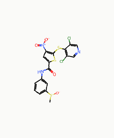 C[S+]([O-])c1cccc(NC(=O)c2cc([N+](=O)[O-])c(Sc3c(Cl)cncc3Cl)s2)c1